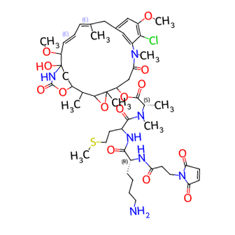 COc1cc2cc(c1Cl)N(C)C(=O)CC(OC(=O)[C@H](C)N(C)C(=O)C(CCSC)NC(=O)[C@@H](CCCCN)NC(=O)CCN1C(=O)C=CC1=O)C1(C)OC1C(C)C1CC(O)(NC(=O)O1)C(OC)/C=C/C=C(\C)C2